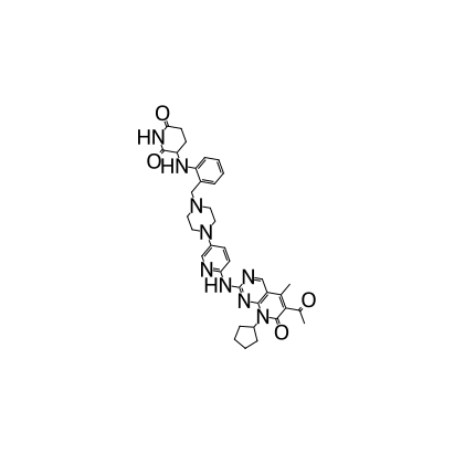 CC(=O)c1c(C)c2cnc(Nc3ccc(N4CCN(Cc5ccccc5NC5CCC(=O)NC5=O)CC4)cn3)nc2n(C2CCCC2)c1=O